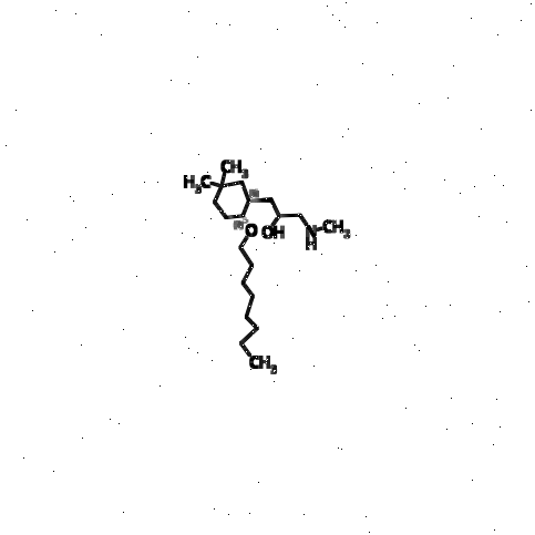 CCCCCCCCO[C@@H]1CCC(C)(C)C[C@H]1CC(O)CNC